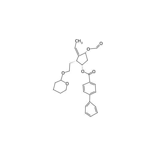 CC=C1[C@@H](CCOC2CCCCO2)[C@@H](OC(=O)c2ccc(-c3ccccc3)cc2)C[C@H]1OC=O